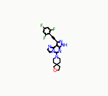 Fc1cc(F)c(C#Cc2n[nH]c3nc(N4CCC5(CCOC5)CC4)n4ccnc4c23)c(F)c1